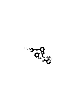 C[C@H](NC(=O)c1nccnc1N)c1cc2cccc(C#Cc3cnn(C)c3)c2n1-c1ccccc1